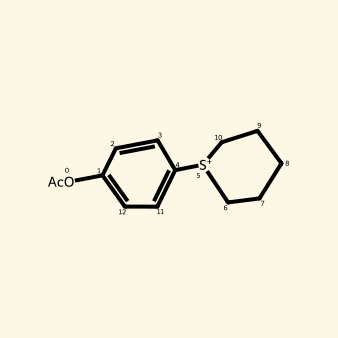 CC(=O)Oc1ccc([S+]2CCCCC2)cc1